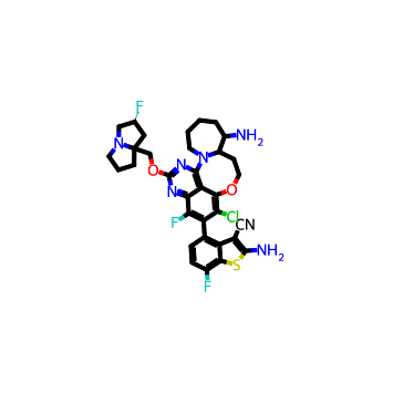 N#Cc1c(N)sc2c(F)ccc(-c3c(Cl)c4c5c(nc(OCC67CCCN6C[C@H](F)C7)nc5c3F)N3CCCCC(N)C3CCO4)c12